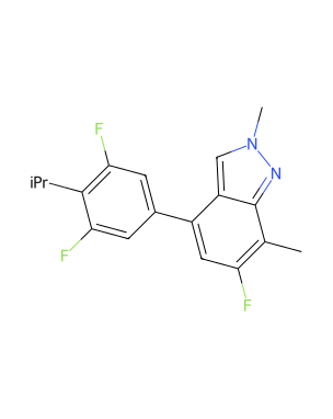 Cc1c(F)cc(-c2cc(F)c(C(C)C)c(F)c2)c2cn(C)nc12